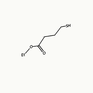 CCOC(=O)[CH]CCS